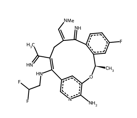 CN/C=C1/C/C(C(C)=N)=C(/NCC(F)F)c2cnc(N)c(c2)O[C@H](C)c2cc(F)ccc2C1=N